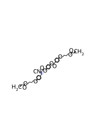 [C-]#[N+]/C(=C\c1ccc(OCCCCOC(=O)C=C)cc1)C(=O)Oc1ccc(OC(=O)c2ccc(OCCCCOC(=O)C=C)cc2)cc1